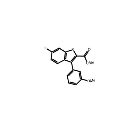 COC(=O)c1sc2cc(F)ccc2c1-c1cccc(OC)c1